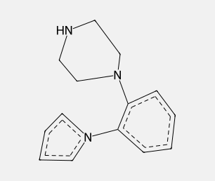 c1ccc(-n2cccc2)c(N2CCNCC2)c1